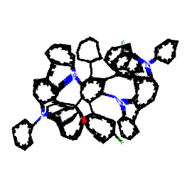 Fc1cccc(-c2c(C3CCCCC3)c(-n3c4ccccc4c4ccc5c(c6ccccc6n5-c5ccccc5)c43)c(C3CCCCC3)c(-c3cccc(F)c3)c2-n2c3ccccc3c3ccc4c(c5ccccc5n4-c4ccccc4)c32)c1